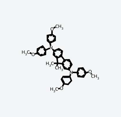 COC1=CC=C(N(c2ccc(OC)cc2)c2ccc3c(c2)C(C)(C)c2cc(N(c4ccc(OC)cc4)c4ccc(OC)cc4)ccc2-3)CC1